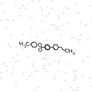 CCCC1CC=C(c2ccc(C(=O)O[C@H]3CC[C@H](C)CC3)cc2)CC1